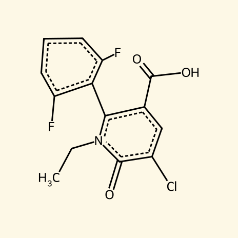 CCn1c(-c2c(F)cccc2F)c(C(=O)O)cc(Cl)c1=O